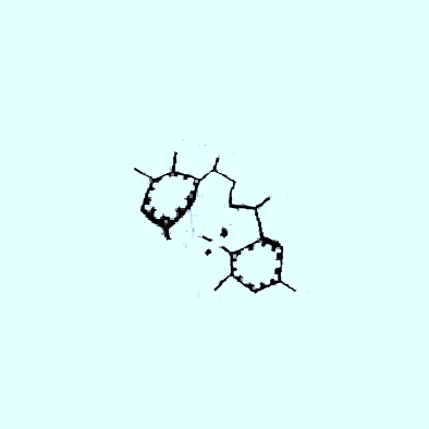 CC(C)c1cc(C(C)C)c(S(N)(=O)=O)c(C(C)CCC(C)c2cc(C(C)C)cc(C(C)C)c2S(=O)(=O)O)c1